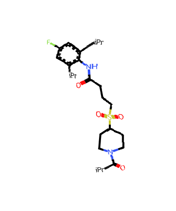 CC(C)C(=O)N1CCC(S(=O)(=O)CCCC(=O)Nc2c(C(C)C)cc(F)cc2C(C)C)CC1